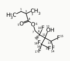 CCC(C)C(=O)OCC(F)(F)C(O)(C(F)F)C(F)(F)F